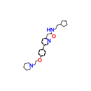 O=C(Cc1ccc(-c2ccc(OCCN3CCCCC3)cc2)cn1)NCCC1CCCC1